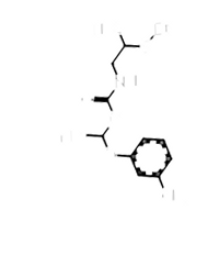 CCCC(OC(=O)NCC(C)SCC)Oc1cccc(C(F)(F)F)c1